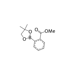 COC(=O)c1ccccc1B1OCC(C)(C)O1